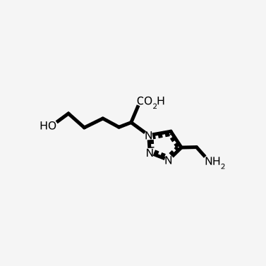 NCc1cn(C(CCCCO)C(=O)O)nn1